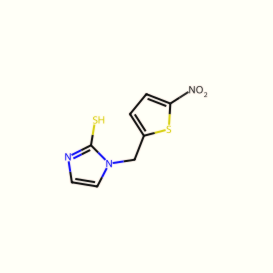 O=[N+]([O-])c1ccc(Cn2ccnc2S)s1